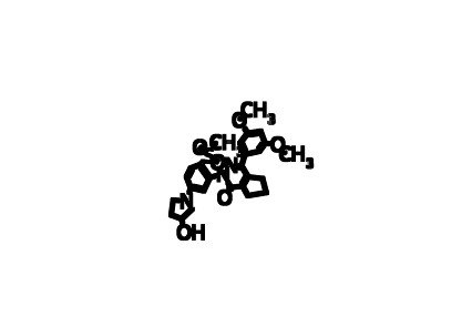 COc1cc(OC)cc(-c2nn(-c3cc(N4CCC(O)C4)ccc3S(C)(=O)=O)c(=O)c3c2CCC3)c1